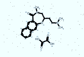 CN(C)CCC1CN(C)C(=O)c2cc3ccccc3cc2O1.O=C(O)C(=O)O